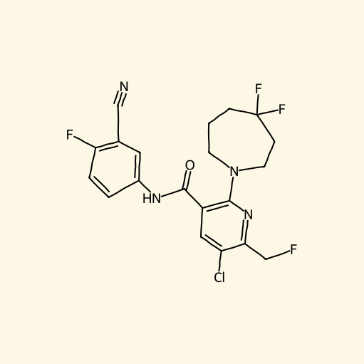 N#Cc1cc(NC(=O)c2cc(Cl)c(CF)nc2N2CCCC(F)(F)CC2)ccc1F